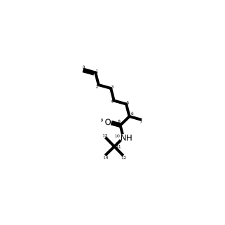 C=CCCCCC(C)C(=O)NC(C)(C)C